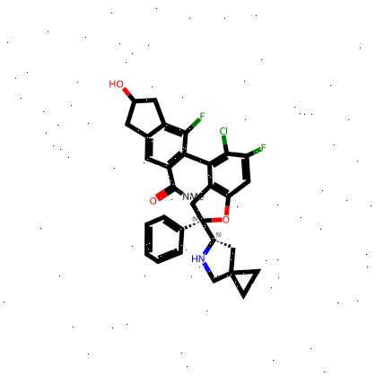 CNC(=O)c1cc2c(c(F)c1-c1c(Cl)c(F)cc3c1C[C@](c1ccccc1)([C@@H]1CC4(CC4)CN1)O3)CC(O)C2